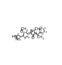 COc1cc(-n2nc(C)n(C(C)c3ccccc3)c2=O)ccc1-c1cn[nH]c1